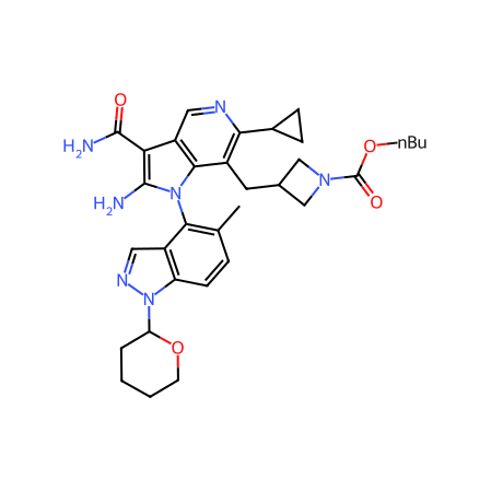 CCCCOC(=O)N1CC(Cc2c(C3CC3)ncc3c(C(N)=O)c(N)n(-c4c(C)ccc5c4cnn5C4CCCCO4)c23)C1